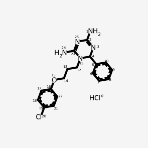 Cl.NC1=NC(c2ccccc2)N(CCCOc2ccc(Cl)cc2)C(N)=N1